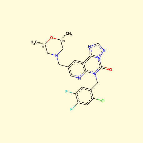 C[C@@H]1CN(Cc2cnc3c(c2)c2ncnn2c(=O)n3Cc2cc(F)c(F)cc2Cl)C[C@H](C)O1